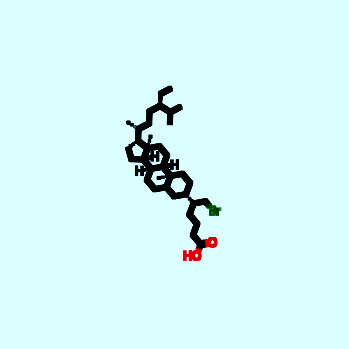 CC[C@H](CC[C@@H](C)[C@H]1CC[C@H]2[C@@H]3CCC4C[C@@H](C(CBr)CCCC(=O)O)CC[C@]4(C)[C@H]3CC[C@]12C)C(C)C